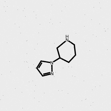 [c]1cnn(C2CCCNC2)c1